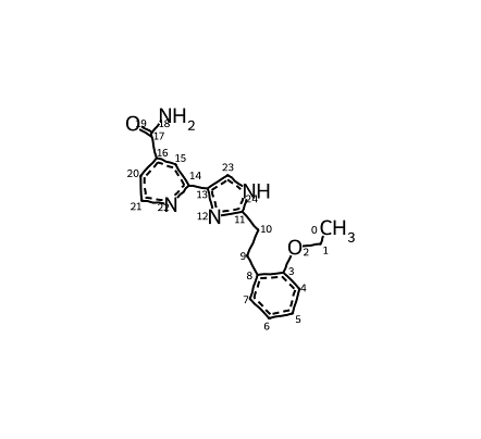 CCOc1ccccc1CCc1nc(-c2cc(C(N)=O)ccn2)c[nH]1